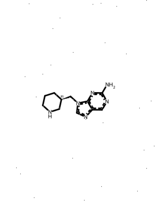 Nc1ncc2ncn(C[C@@H]3CCCNC3)c2n1